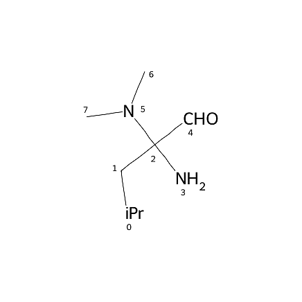 CC(C)CC(N)(C=O)N(C)C